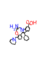 N[C@H]1COc2c(CN3CCCCC3)cccc2-c2c(C3CCCCC3)c3ccc(C(=O)O)cc3n2C1